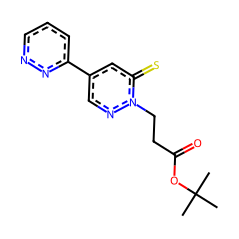 CC(C)(C)OC(=O)CCn1ncc(-c2cccnn2)cc1=S